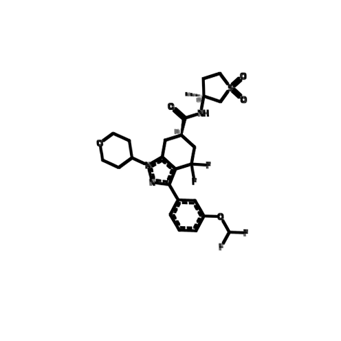 C[C@]1(NC(=O)[C@@H]2Cc3c(c(-c4cccc(OC(F)F)c4)nn3C3CCOCC3)C(F)(F)C2)CCS(=O)(=O)C1